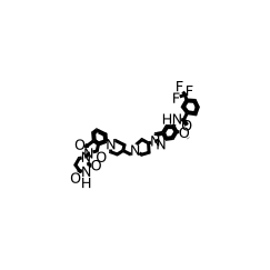 COc1cc2nn(C3CCN(CC4CCN(c5cccc6c5C(=O)N(N5CCC(=O)NC5=O)C6=O)CC4)CC3)cc2cc1NC(=O)c1cccc(C(F)(F)F)c1